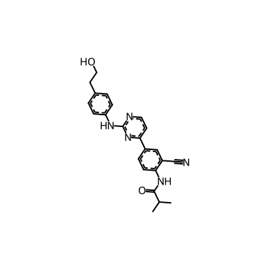 CC(C)C(=O)Nc1ccc(-c2ccnc(Nc3ccc(CCO)cc3)n2)cc1C#N